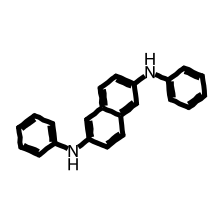 c1ccc(Nc2ccc3cc(Nc4ccccc4)ccc3c2)cc1